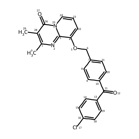 Cc1nc2c(OCc3ccc(C(=O)c4ccc(Cl)cc4)cc3)cccn2c(=O)c1C